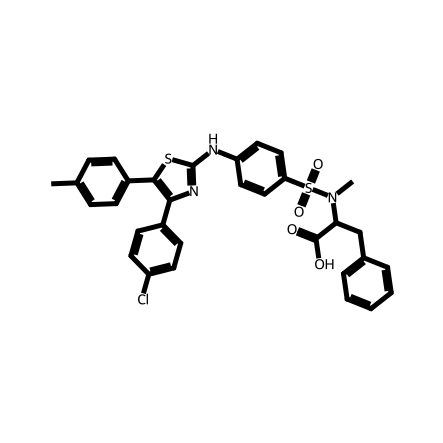 Cc1ccc(-c2sc(Nc3ccc(S(=O)(=O)N(C)C(Cc4ccccc4)C(=O)O)cc3)nc2-c2ccc(Cl)cc2)cc1